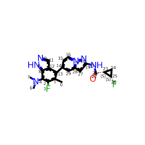 Cc1c(F)c(N(C)C)c2[nH]ncc2c1-c1ccn2nc(NC(=O)[C@@H]3C[C@@H]3F)cc2c1